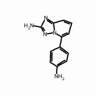 Nc1ccc(-c2cccc3nc(N)nn23)cc1